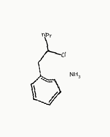 CCCC(Cl)Cc1ccccc1.N